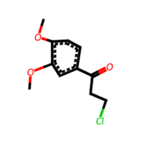 COc1ccc(C(=O)CCCl)cc1OC